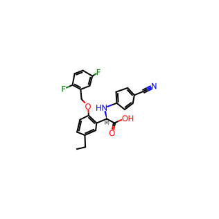 CCc1ccc(OCc2cc(F)ccc2F)c([C@@H](Nc2ccc(C#N)cc2)C(=O)O)c1